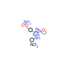 NC(=O)OCc1ccc(-c2nc(Nc3cccc([N+](=O)[O-])c3)nc3c2ncn3C2CCCCO2)cc1